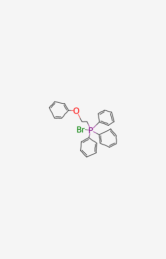 BrP(CCOc1ccccc1)(c1ccccc1)(c1ccccc1)c1ccccc1